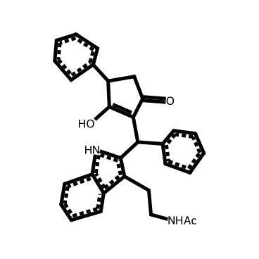 CC(=O)NCCc1c(C(C2=C(O)C(c3ccccc3)CC2=O)c2ccccc2)[nH]c2ccccc12